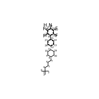 CC(C)(C)CCCC[C@H]1CC[C@H](c2ccc(-c3c(F)c(F)c(N)c(F)c3F)cc2)CC1